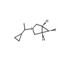 CC(C1CC1)N1C[C@@H]2[C@@H](I)[C@@H]2C1